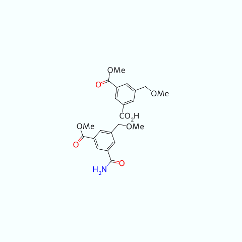 COCc1cc(C(=O)O)cc(C(=O)OC)c1.COCc1cc(C(N)=O)cc(C(=O)OC)c1